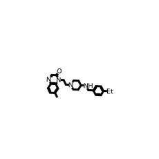 CCc1ccc(CNC2CCN(CCn3c(=O)cnc4ccc(C)cc43)CC2)cc1